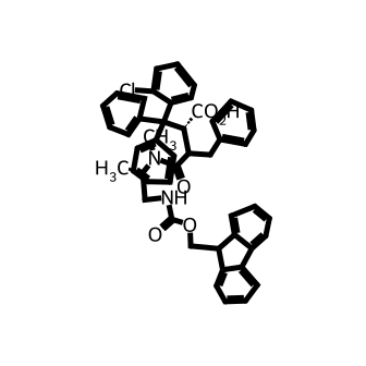 C[C@@H](CNC(=O)OCC1c2ccccc2-c2ccccc21)N(C)C(=O)C(Cc1ccccc1)[C@@H](C(=O)O)C(c1ccccc1)(c1ccccc1)c1ccccc1Cl